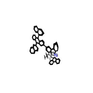 C/C(=N\c1c(C)c2ccccc2c2ccccc12)c1ccccc1-c1cc(-c2ccc3c(-c4cccc5ccccc45)c4ccccc4c(-c4ccc5ccccc5c4)c3c2)ccc1C